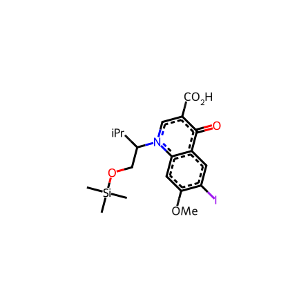 COc1cc2c(cc1I)c(=O)c(C(=O)O)cn2C(CO[Si](C)(C)C)C(C)C